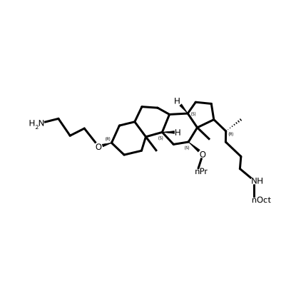 CCCCCCCCNCCC[C@@H](C)C1CC[C@H]2C3CCC4C[C@H](OCCCN)CCC4(C)[C@H]3C[C@H](OCCC)C12C